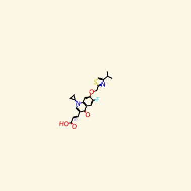 CC(C)c1csc(COc2cc3c(cc2F)c(=O)c(/C=C/C(=O)O)cn3C2CC2)n1